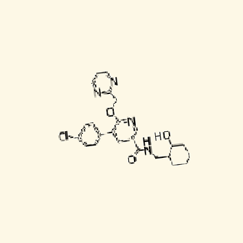 O=C(NC[C@@H]1CCCC[C@@H]1O)c1cnc(OCc2ncccn2)c(-c2ccc(Cl)cc2)c1